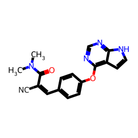 CN(C)C(=O)C(C#N)=Cc1ccc(Oc2ncnc3[nH]ccc23)cc1